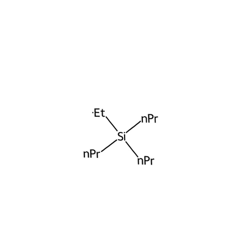 C[CH][Si](CCC)(CCC)CCC